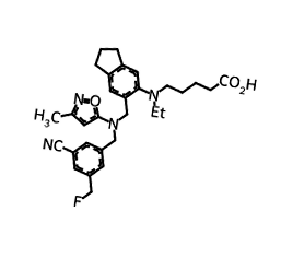 CCN(CCCCC(=O)O)c1cc2c(cc1CN(Cc1cc(C#N)cc(CF)c1)c1cc(C)no1)CCC2